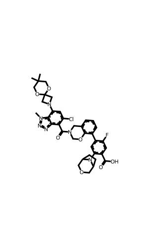 Cn1nnc2c(C(=O)N3COc4c(cccc4-c4cc(N5C6CCC5COC6)c(C(=O)O)cc4F)C3)c(Cl)cc(N3CC4(C3)OCC(C)(C)CO4)c21